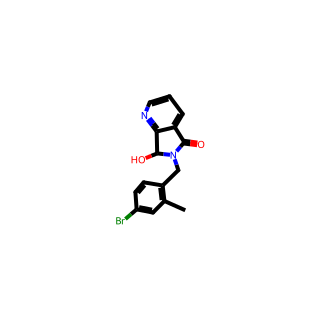 Cc1cc(Br)ccc1CN1C(=O)c2cccnc2C1O